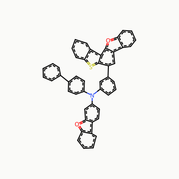 c1ccc(-c2ccc(N(c3cccc(-c4cc5c6ccccc6oc5c5c4sc4ccccc45)c3)c3ccc4c(c3)oc3ccccc34)cc2)cc1